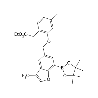 CCOC(=O)Cc1ccc(C)cc1OCc1cc(B2OC(C)(C)C(C)(C)O2)c2occ(C(F)(F)F)c2c1